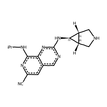 CC(C)Nc1nc(C#N)cc2cnc(N[C@H]3[C@@H]4CNC[C@@H]43)nc12